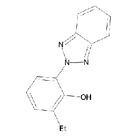 CCc1cccc(-n2nc3ccccc3n2)c1O